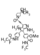 C=C(F)C(=O)Nc1ccc(-c2c(-c3ccc(C(=O)NCC(F)(F)F)c(OC)c3)c3c(N)ncc(C#CC(=O)N4CC[C@H](N(C)C)C4)c3n2C)cc1